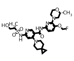 C[C@@H]1CN(c2nc(NC(=O)c3cnc(NS(=O)(=O)[C@@H](C)CO)cc3N3CCC4(CC3)CC4)ccc2OCF)CCO1